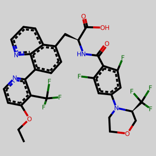 CCOc1ccnc(-c2ccc(C[C@H](NC(=O)c3c(F)cc(N4CCOC[C@@H]4C(F)(F)F)cc3F)C(=O)O)c3cccnc23)c1C(F)(F)F